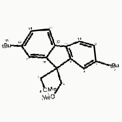 COCC1(COC)c2cc(C(C)(C)C)ccc2-c2ccc(C(C)(C)C)cc21